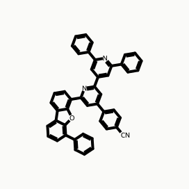 N#Cc1ccc(-c2cc(-c3cc(-c4ccccc4)nc(-c4ccccc4)c3)nc(-c3cccc4c3oc3c(-c5ccccc5)cccc34)c2)cc1